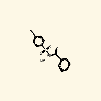 Cc1ccc(S(=O)(=O)NC(=O)c2ccccc2)cc1.[LiH]